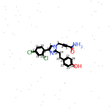 NC(=O)C#CCn1cc(-c2ccc(Cl)cc2Cl)nc1[CH]Cc1ccc(O)cc1